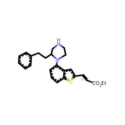 CCOC(=O)/C=C/c1cc2c(N3CCNCC3CCc3ccccc3)cccc2s1